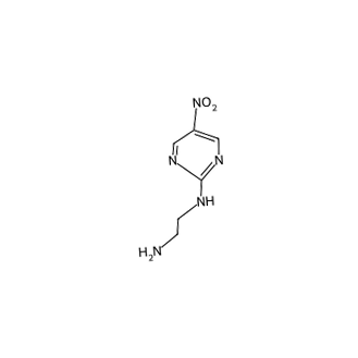 NCCNc1ncc([N+](=O)[O-])cn1